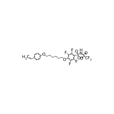 C=Cc1ccc(OCCCCCCOc2c(F)c(F)c(S(=O)(=O)NS(=O)(=O)C(F)(F)F)c(F)c2F)cc1